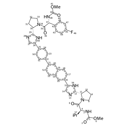 COC(=O)N[C@H](C(=O)N1CCC[C@H]1c1ncc(-c2ccc3cc(-c4ccc(-c5cnc([C@@H]6CCCN6C(=O)[C@H](NC(=O)OC)c6ccc(F)cc6)[nH]5)cc4)ccc3c2)[nH]1)C(C)C